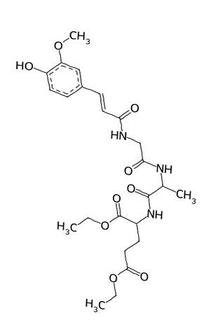 CCOC(=O)CCC(NC(=O)C(C)NC(=O)CNC(=O)/C=C/c1ccc(O)c(OC)c1)C(=O)OCC